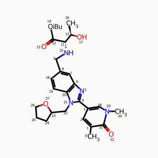 Cc1cc(-c2nc3cc(CN[C@H](C(=O)OCC(C)C)[C@@H](C)O)ccc3n2CC2CCCO2)cn(C)c1=O